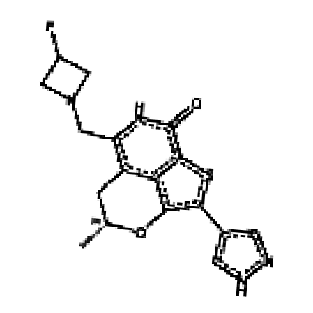 C[C@@H]1Cc2c(CN3CC(F)C3)[nH]c(=O)c3sc(-c4cn[nH]c4)c(c23)O1